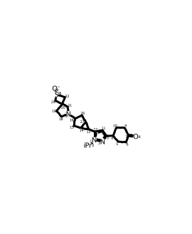 CC(C)n1nc(C2CCC(=O)CC2)cc1C1C2CC(N3CCC4(C3)C[S+]([O-])C4)CC21